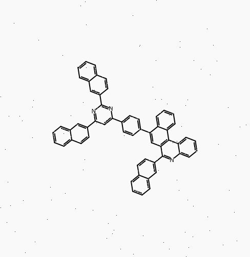 c1ccc2cc(-c3cc(-c4ccc(-c5cc6c(-c7ccc8ccccc8c7)nc7ccccc7c6c6ccccc56)cc4)nc(-c4ccc5ccccc5c4)n3)ccc2c1